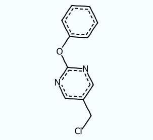 ClCc1cnc(Oc2ccccc2)nc1